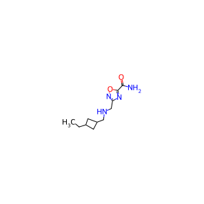 CCC1CC(CNCc2noc(C(N)=O)n2)C1